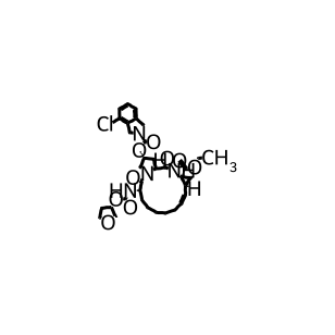 CCOC(=O)[C@@]12C[C@H]1/C=C\CCCCC[C@H](NC(=O)OC1CCOC1)C(=O)N1C[C@H](OC(=O)N3Cc4cccc(Cl)c4C3)C[C@H]1C(=O)N2